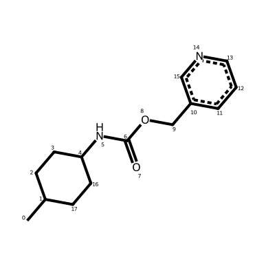 CC1CCC(NC(=O)OCc2cccnc2)CC1